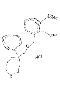 COc1cccc(COCC2(c3ccccc3)CCNCC2)c1OC.Cl